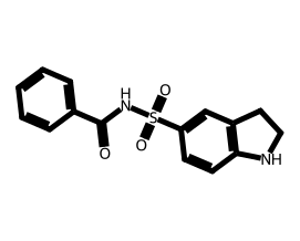 O=C(NS(=O)(=O)c1ccc2c(c1)CCN2)c1ccccc1